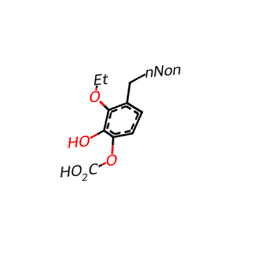 CCCCCCCCCCc1ccc(OC(=O)O)c(O)c1OCC